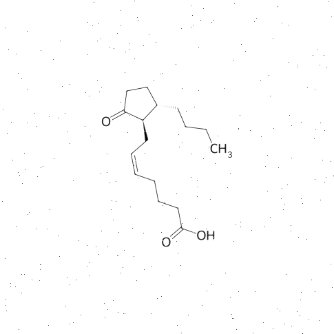 CCCC[C@H]1CCC(=O)[C@@H]1C/C=C\CCCC(=O)O